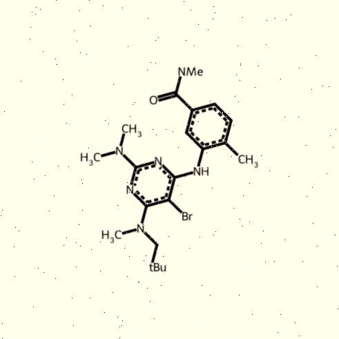 CNC(=O)c1ccc(C)c(Nc2nc(N(C)C)nc(N(C)CC(C)(C)C)c2Br)c1